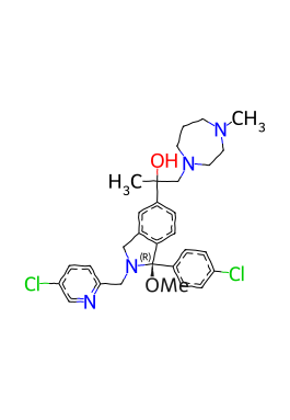 CO[C@]1(c2ccc(Cl)cc2)c2ccc(C(C)(O)CN3CCCN(C)CC3)cc2CN1Cc1ccc(Cl)cn1